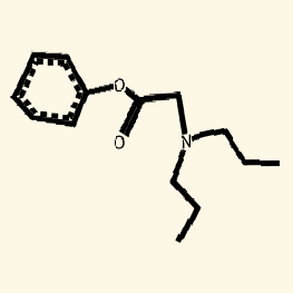 CCCN(CCC)CC(=O)Oc1ccccc1